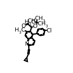 CC(=O)[C@@H](OC(C)(C)C)c1c(C)cc2nc(C#CC3CC3)ccc2c1-c1ccc(Cl)cc1